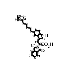 O=C(CCCCCc1ccc2c(c1)C(C[C@@H](C(=O)O)N1C(=O)c3ccccc3C1=O)CN2)NO